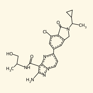 CC(CO)NC(=O)c1c(N)nn2ccc(-c3cc(Cl)c4c(c3)CN(C(C)C3CC3)C4=O)nc12